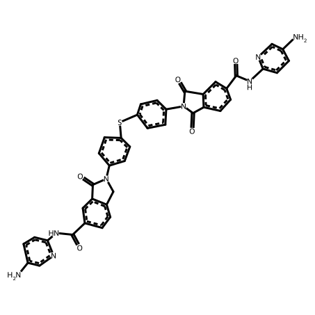 Nc1ccc(NC(=O)c2ccc3c(c2)C(=O)N(c2ccc(Sc4ccc(N5C(=O)c6ccc(C(=O)Nc7ccc(N)cn7)cc6C5=O)cc4)cc2)C3)nc1